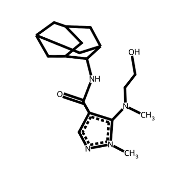 CN(CCO)c1c(C(=O)NC2C3CC4CC(C3)CC2C4)cnn1C